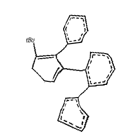 CC(C)(C)C1=C(c2ccccc2)C(c2ccccc2-c2ccccc2)=C[CH]C1